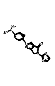 CCCN(CC)c1ccc(-n2cc3c(n2)CN(c2ncco2)C3=O)cn1